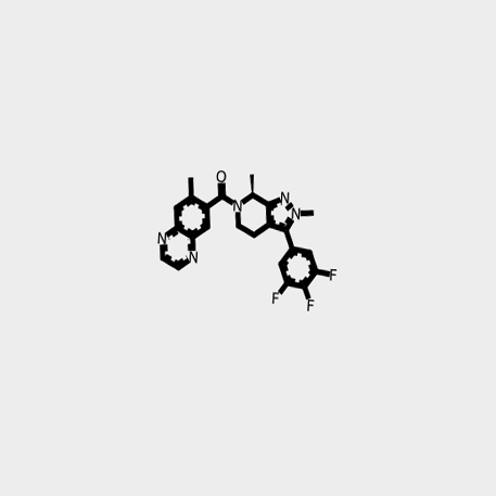 Cc1cc2nccnc2cc1C(=O)N1CCc2c(nn(C)c2-c2cc(F)c(F)c(F)c2)[C@@H]1C